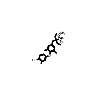 CCC(CC)(Cc1cc(I)c(Oc2ccc(O)c(I)c2)c(I)c1)P(=O)(O)ON